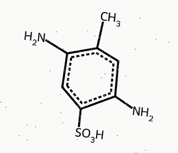 Cc1cc(N)c(S(=O)(=O)O)cc1N